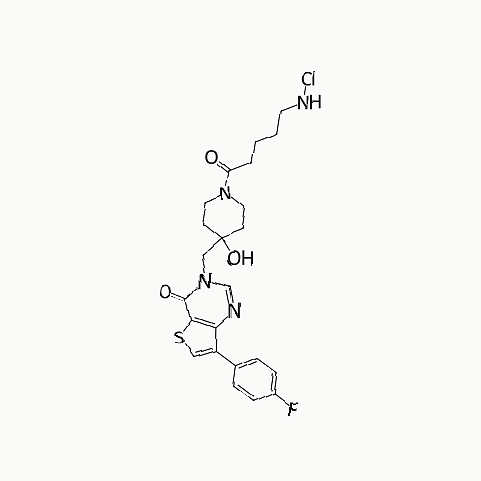 O=C(CCCCNCl)N1CCC(O)(Cn2cnc3c(-c4ccc(F)cc4)csc3c2=O)CC1